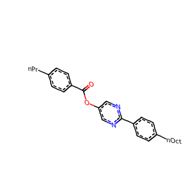 CCCCCCCCc1ccc(-c2ncc(OC(=O)c3ccc(CCC)cc3)cn2)cc1